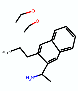 CC(N)c1cc2ccccc2cc1C[CH2][Sn+2].CC[O-].CC[O-]